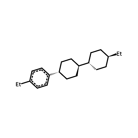 CCc1ccc([C@H]2CC[C@H]([C@H]3CC[C@H](CC)CC3)CC2)cc1